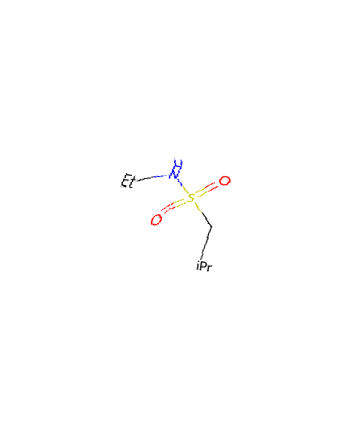 CCNS(=O)(=O)CC(C)C